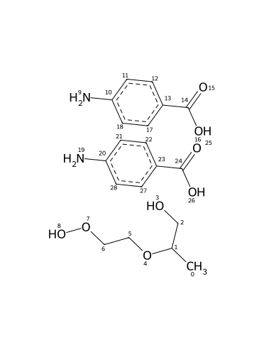 CC(CO)OCCOO.Nc1ccc(C(=O)O)cc1.Nc1ccc(C(=O)O)cc1